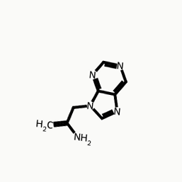 C=C(N)Cn1cnc2cncnc21